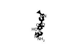 Nc1ncnc2c1ccn2C1CC2(COC(c3ccn4c(C5CC5)cnc4c3)C2)C(O)C1O